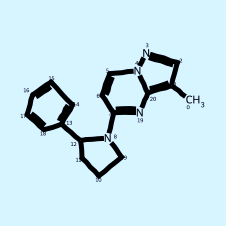 Cc1cnn2ccc(N3CCCC3c3ccccc3)nc12